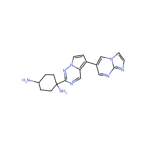 NC1CCC(N)(c2ncc3c(-c4cnc5nccn5c4)ccn3n2)CC1